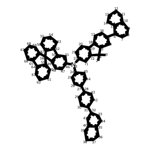 CC1(C)c2cc(-c3cccc4ccccc34)ccc2-c2ccc(N(c3ccc(-c4ccc(-c5ccc6ccccc6c5)cc4)cc3)c3ccc4c(c3)-c3ccccc3C43c4ccccc4-c4ccccc43)cc21